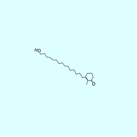 CC1=C(CCCCCCCCCCCCCCCO)CCCC1=O